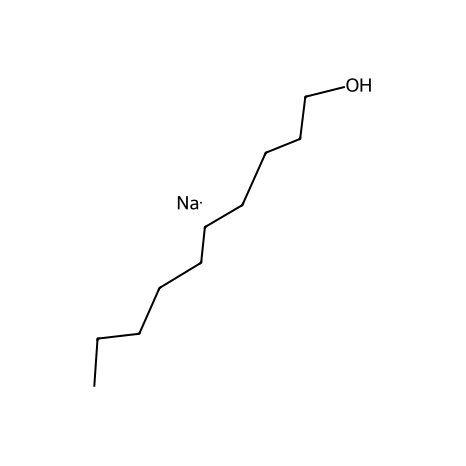 CCCCCCCCCCO.[Na]